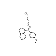 CSc1ccc(/C(=N/OCCCCl)c2cccc3ccccc23)cc1